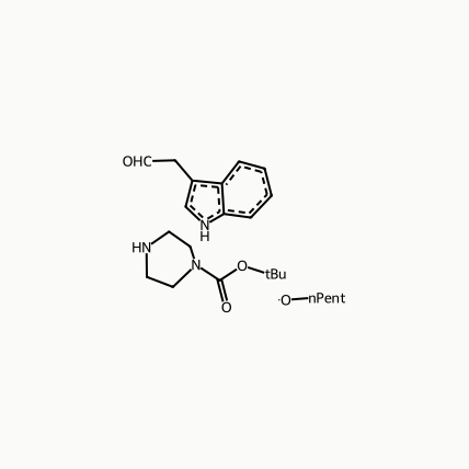 CC(C)(C)OC(=O)N1CCNCC1.CCCCC[O].O=CCc1c[nH]c2ccccc12